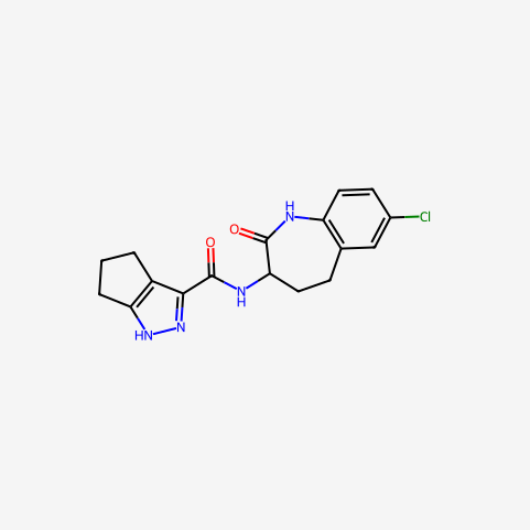 O=C(NC1CCc2cc(Cl)ccc2NC1=O)c1n[nH]c2c1CCC2